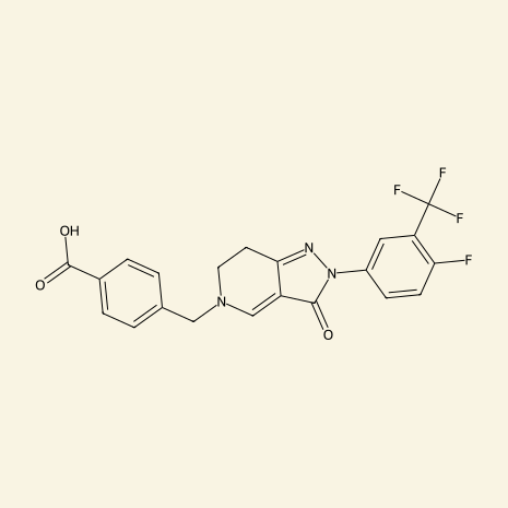 O=C(O)c1ccc(CN2C=C3C(=O)N(c4ccc(F)c(C(F)(F)F)c4)N=C3CC2)cc1